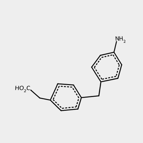 Nc1ccc(Cc2ccc(CC(=O)O)cc2)cc1